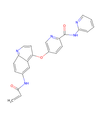 C=CC(=O)Nc1ccc2nccc(Oc3ccc(C(=O)Nc4ccccn4)nc3)c2c1